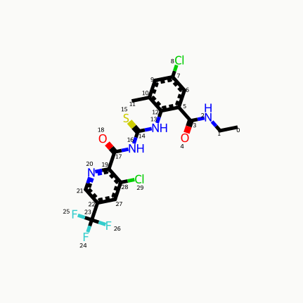 CCNC(=O)c1cc(Cl)cc(C)c1NC(=S)NC(=O)c1ncc(C(F)(F)F)cc1Cl